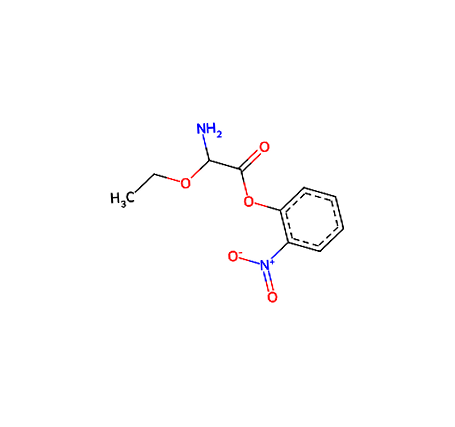 CCOC(N)C(=O)Oc1ccccc1[N+](=O)[O-]